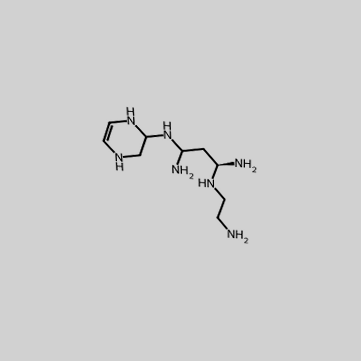 NCCN[C@H](N)CC(N)NC1CNC=CN1